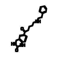 O=C1NCc2cc(C(=O)CCCCNCCc3ccccc3)ccc2N1